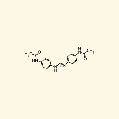 CC(=O)Nc1ccc(/N=C/Nc2ccc(NC(C)=O)cc2)cc1